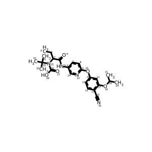 CCC(C(=O)Nc1ccc(Oc2ccc(C#N)c(OC(C)C)c2)nc1)N(C(=O)O)C(C)(C)C